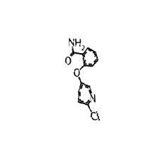 NC(=O)c1ccccc1Oc1ccc(Cl)nc1